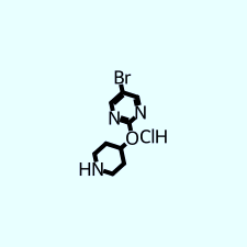 Brc1cnc(OC2CCNCC2)nc1.Cl